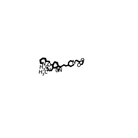 CN(C)Cc1c(OCc2ccccn2)ccc2c(CCC3CCN(CC4OCCO4)CC3)noc12